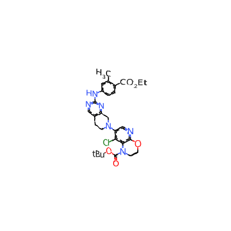 CCOC(=O)c1ccc(Nc2ncc3c(n2)CN(c2cnc4c(c2Cl)N(C(=O)OC(C)(C)C)CCO4)CC3)cc1C